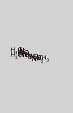 COCCOC1CN(c2ccc3c(n2)CCC(NC(=O)c2sc4nc(C)nc(C)c4c2N)C3)CC1N